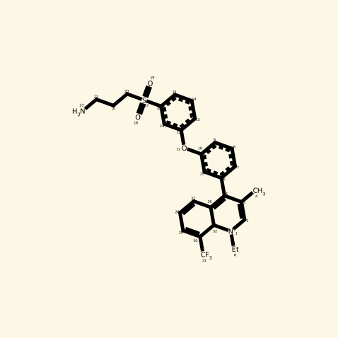 CCN1C=C(C)C(c2cccc(Oc3cccc(S(=O)(=O)CCCN)c3)c2)=C2C=CC=C(C(F)(F)F)C21